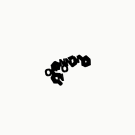 Cc1ccc(C(=O)N2CCC(NC(=O)N3CCN(Cc4ccccc4)CC3)C2)cn1